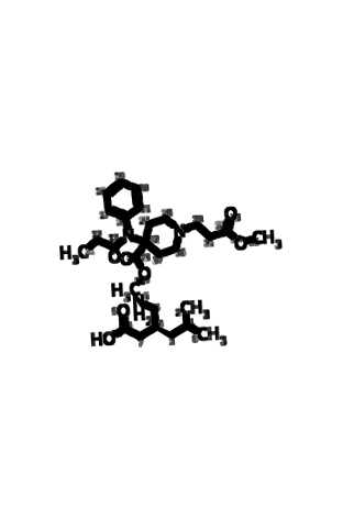 CC(C)C[C@H](CN)CC(=O)O.CCC(=O)N(c1ccccc1)C1(C(=O)OC)CCN(CCC(=O)OC)CC1